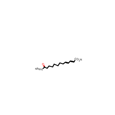 CCCCCC(=O)CCCCCCC/C=C/C=C/C(=O)O